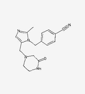 Cc1ncc(CN2CCNC(=O)C2)n1Cc1ccc(C#N)cc1